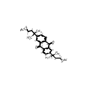 CC(=O)OCCC(C)(C)c1ccc2c(c1)C(=O)c1ccc(C(C)(C)CCOC(C)=O)cc1C2=O